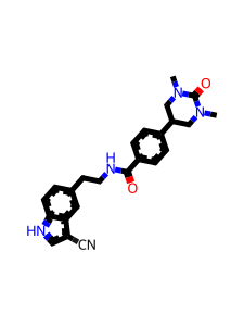 CN1CC(c2ccc(C(=O)NCCc3ccc4[nH]cc(C#N)c4c3)cc2)CN(C)C1=O